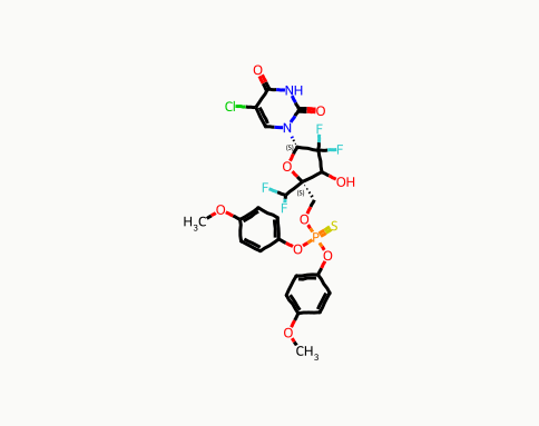 COc1ccc(OP(=S)(OC[C@]2(C(F)F)O[C@H](n3cc(Cl)c(=O)[nH]c3=O)C(F)(F)C2O)Oc2ccc(OC)cc2)cc1